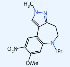 COc1cc2c(cc1[N+](=O)[O-])-c1cn(C)nc1CCN2C(C)C